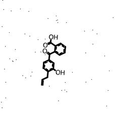 C=CCc1ccc(C(=O)c2ccccc2C(=O)O)cc1O